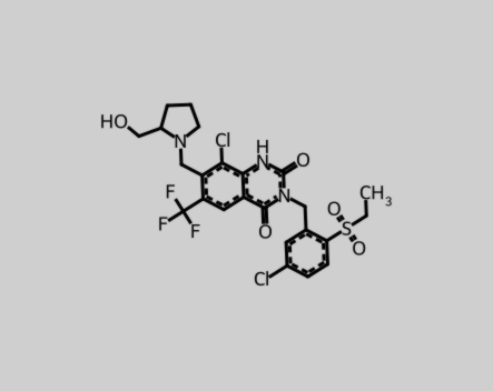 CCS(=O)(=O)c1ccc(Cl)cc1Cn1c(=O)[nH]c2c(Cl)c(CN3CCCC3CO)c(C(F)(F)F)cc2c1=O